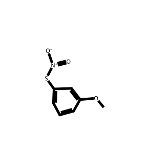 COc1cccc(S[N+](=O)[O-])c1